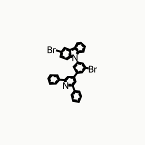 Brc1cc(-c2cc(-c3ccccc3)nc(-c3ccccc3)c2)cc(-n2c3ccccc3c3cc(Br)ccc32)c1